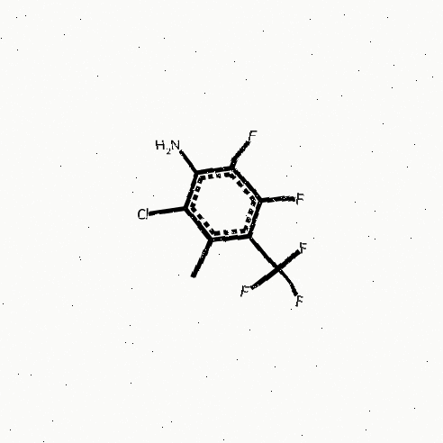 Cc1c(Cl)c(N)c(F)c(F)c1C(F)(F)F